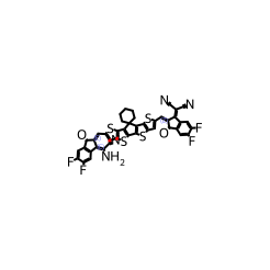 N#CC(C#N)=C1/C(=C/c2cc3sc4c(c3s2)C2(CCCCC2)c2c-4sc3cc(/C=C4/C(=O)c5cc(F)c(F)cc5/C4=C(\N)C#N)sc23)C(=O)c2cc(F)c(F)cc21